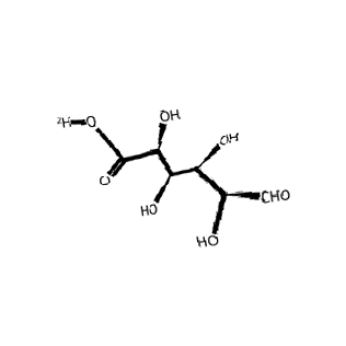 [2H]OC(=O)[C@@H](O)[C@H](O)[C@@H](O)[C@H](O)C=O